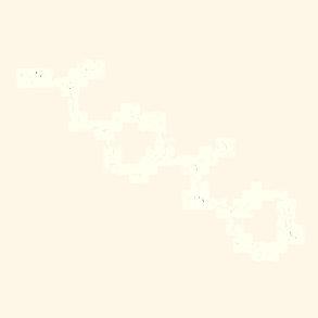 NC(=O)Oc1ccc(C(=O)Nc2ccncc2)cc1